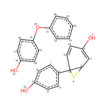 OC1=CC2SC2(c2ccc(O)cc2)C=C1.Oc1ccc(Oc2ccccc2)cc1